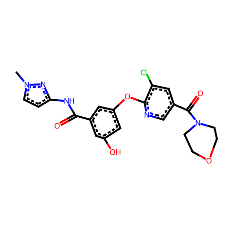 Cn1ccc(NC(=O)c2cc(O)cc(Oc3ncc(C(=O)N4CCOCC4)cc3Cl)c2)n1